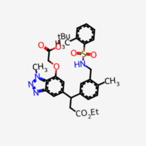 CCOC(=O)CC(c1ccc(C)c(CNS(=O)(=O)c2ccccc2C)c1)c1cc(OCC(=O)OC(C)(C)C)c2c(c1)nnn2C